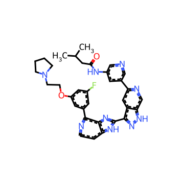 CC(C)CC(=O)Nc1cncc(-c2cc3c(-c4nc5c(-c6cc(F)cc(OCCN7CCCC7)c6)nccc5[nH]4)n[nH]c3cn2)c1